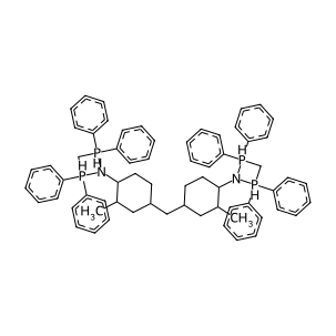 CC1CC(CC2CCC(N3[PH](c4ccccc4)(c4ccccc4)C[PH]3(c3ccccc3)c3ccccc3)C(C)C2)CCC1N1[PH](c2ccccc2)(c2ccccc2)C[PH]1(c1ccccc1)c1ccccc1